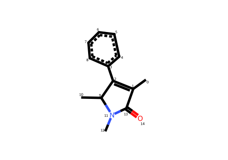 CC1=C(c2ccccc2)C(C)N(C)C1=O